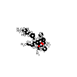 CC(C)=CCCC1(C)C=Cc2c(c(CC=C(C)C)c3c(c2OC(=O)c2ccc(O[C@@H]4O[C@@H]5COC(C)(C)O[C@H]5[C@@H](O)[C@H]4O)cc2)C(=O)C2C(N4CCOCC4)C4CC5C(C)(C)OC(C/C=C(/C)C(=O)N6CCCCC6)(C4=O)C25O3)O1